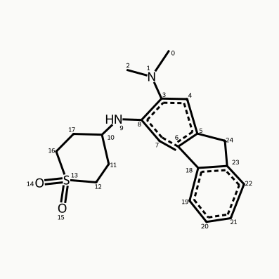 CN(C)c1cc2c(cc1NC1CCS(=O)(=O)CC1)-c1ccccc1C2